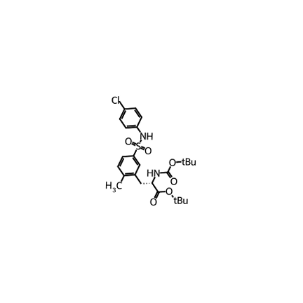 Cc1ccc(S(=O)(=O)Nc2ccc(Cl)cc2)cc1C[C@H](NC(=O)OC(C)(C)C)C(=O)OC(C)(C)C